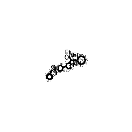 CCN(CC)C(=O)C1C2CC(C3CCN(S(=O)(=O)Cc4ccccc4)CC3)CCN2NC1(C)C1CCCCCCC1